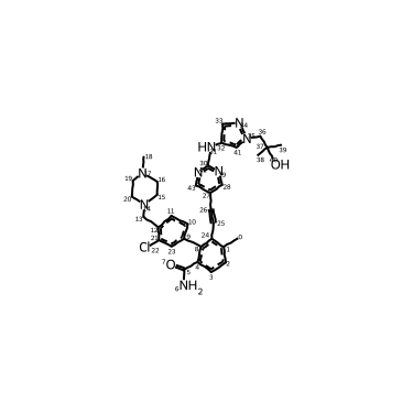 Cc1ccc(C(N)=O)c(-c2ccc(CN3CCN(C)CC3)c(Cl)c2)c1C#Cc1cnc(Nc2cnn(CC(C)(C)O)c2)nc1